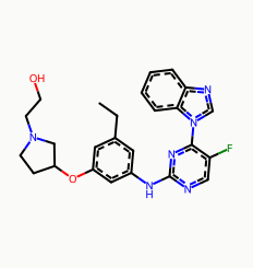 CCc1cc(Nc2ncc(F)c(-n3cnc4ccccc43)n2)cc(OC2CCN(CCO)C2)c1